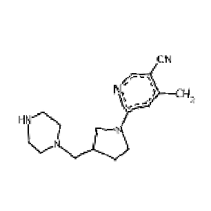 Cc1cc(N2CCC(CN3CCNCC3)C2)ncc1C#N